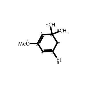 CCC1=CC(OC)=CC(C)(C)C1